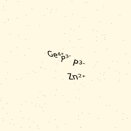 [Ge+4].[P-3].[P-3].[Zn+2]